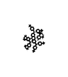 Cc1cc2c(cc1N1c3cc(N(c4ccc(C(C)(C)C)cc4)c4ccc(C(C)(C)C)cc4)ccc3B3c4cc5c(cc4N(c4ccc6c(c4)C(C)(C)CC6(C)C)c4cc(N(c6ccc(C(C)(C)C)cc6)c6ccc(C(C)(C)C)cc6)cc1c43)C(C)(C)CC5(C)C)C(C)(C)CCC2(C)C